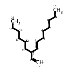 [CH]=CC(C=CCCCCCC)CCCCCC